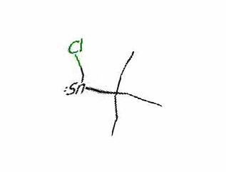 C[C](C)(C)[Sn][Cl]